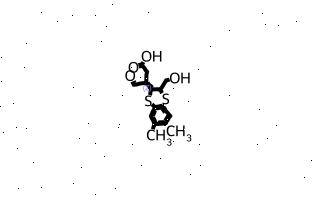 Cc1cc2c(cc1C)SC(CO)/C(=C(/C=O)CC(=O)O)S2